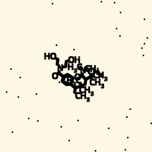 CCC(c1ccc(C(=O)N(CCO)CCO)cc1)C(C)(C)CC(C(=O)N(C)C)C(C)(C)C